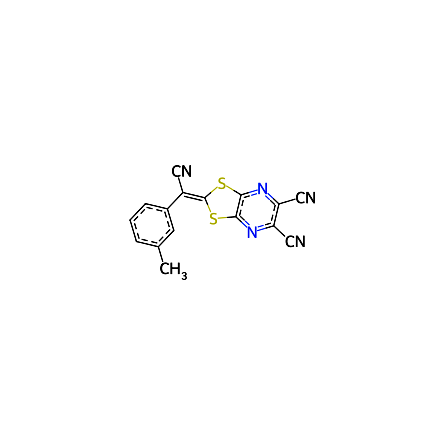 Cc1cccc(C(C#N)=C2Sc3nc(C#N)c(C#N)nc3S2)c1